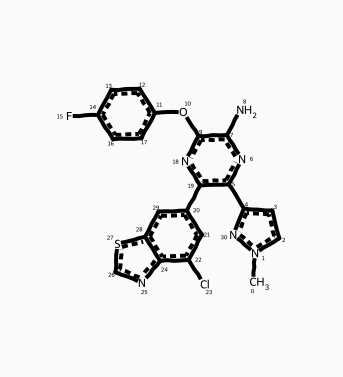 Cn1ccc(-c2nc(N)c(Oc3ccc(F)cc3)nc2-c2cc(Cl)c3ncsc3c2)n1